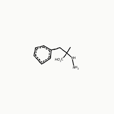 CC(Cc1ccccc1)(NN)C(=O)O